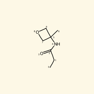 CCC(=O)NC1(C)COC1